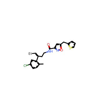 CC/C=C(/CCNC(=O)c1cc(Cc2cccs2)on1)c1cc(Cl)ccc1C